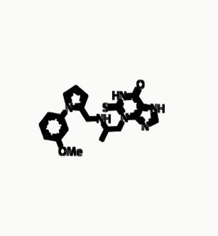 COc1cccc(-n2cccc2CNC(C)Cn2c(=S)[nH]c(=O)c3[nH]cnc32)c1